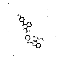 CN(C)c1nc(N[C@H]2CC[C@@H](CNC(=O)c3ccccc3C(=O)c3ccc(Cl)cc3)CC2)nc2ccccc12